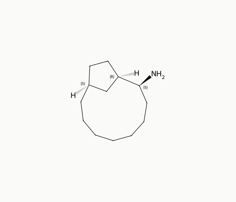 N[C@H]1CCCCCCC[C@H]2CC[C@@H]1C2